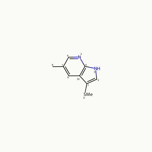 CSc1c[nH]c2ncc(C)cc12